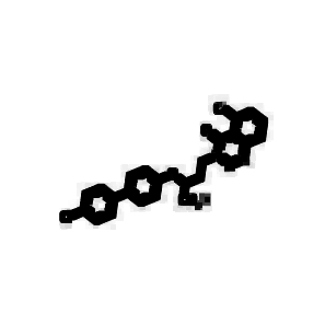 O=C(O)C(CCn1nnc2cccc(Cl)c2c1=O)Oc1ccc(-c2ccc(Cl)cc2)cc1